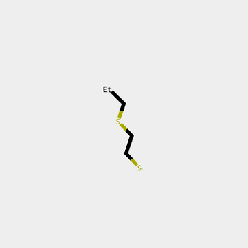 CCCSCC[S]